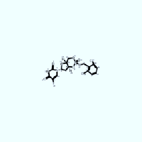 O=c1[nH]c(=O)n([C@H]2C[C@@H]3OP(=O)(OCc4c(Cl)cccc4Cl)OC[C@H]3O2)cc1F